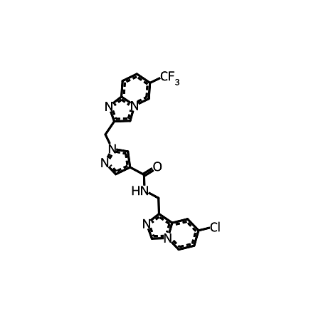 O=C(NCc1ncn2ccc(Cl)cc12)c1cnn(Cc2cn3cc(C(F)(F)F)ccc3n2)c1